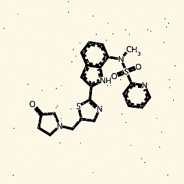 CN(c1cccc2cc(C3=NCC(CN4CCC(=O)C4)S3)[nH]c12)S(=O)(=O)c1ccccn1